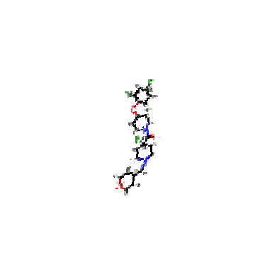 O=C(N1CCC(Oc2c(F)cc(F)cc2F)CC1)C1(F)CCN(CC2CCOCC2)CC1